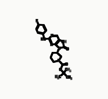 CC(C)(C)OC(=O)N1CCC[C@@H](n2c(=O)[nH]c3cnc(Nc4ccc(F)cc4)nc32)C1